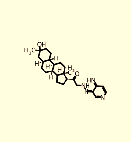 C[C@@]1(O)CC[C@H]2[C@@H](CC[C@@H]3[C@@H]2CC[C@]2(C)[C@@H](C(=O)CN/N=C4/C=NC=CC4=N)CC[C@@H]32)C1